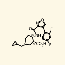 O=C(N[C@H]1CCN(CC2CC2)C[C@@H]1C(=O)O)c1nocc1-c1ccc(F)cc1F